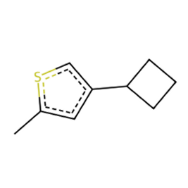 Cc1cc(C2CCC2)cs1